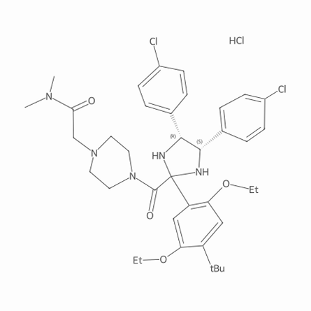 CCOc1cc(C2(C(=O)N3CCN(CC(=O)N(C)C)CC3)N[C@H](c3ccc(Cl)cc3)[C@H](c3ccc(Cl)cc3)N2)c(OCC)cc1C(C)(C)C.Cl